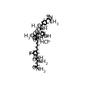 Cc1ncsc1-c1ccc([C@H](C)NC(=O)[C@@H]2C[C@@H](O)CN2C(=O)[C@@H](NC(=O)CCCCCc2cc(F)cc(NC(=O)[C@@H](N)CCC(N)=O)c2)C(C)(C)C)cc1.Cl